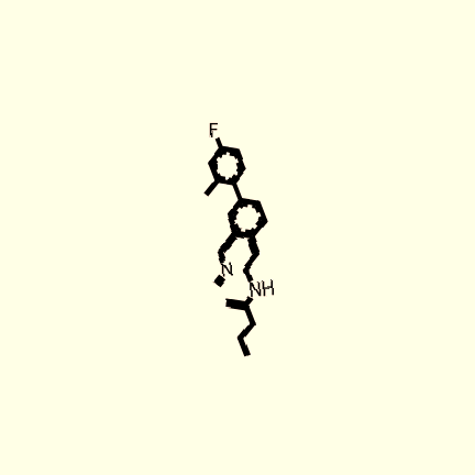 C=N/C=c1/cc(-c2ccc(F)cc2C)cc/c1=C/CNC(=C)CCC